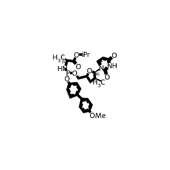 COc1ccc(-c2ccc(OP(N[C@@H](C)C(=O)OC(C)C)OCC3C[C@H](C)[C@H](n4ccc(=O)[nH]c4=O)O3)cc2)cc1